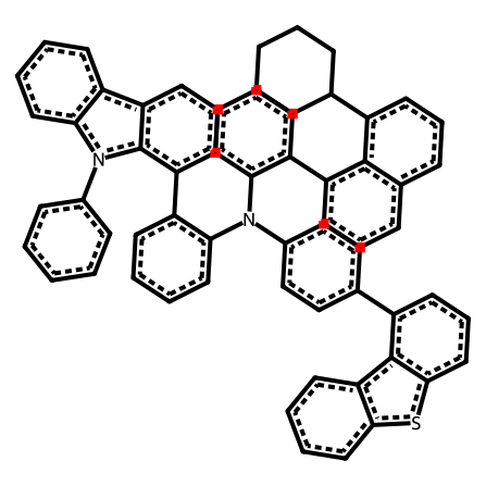 c1ccc(-n2c3ccccc3c3cccc(-c4ccccc4N(c4ccc(-c5cccc6sc7ccccc7c56)cc4)c4ccccc4-c4cccc5cccc(C6CCCCC6)c45)c32)cc1